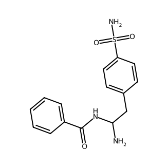 NC(Cc1ccc(S(N)(=O)=O)cc1)NC(=O)c1ccccc1